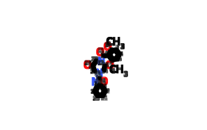 COc1cccc(OC)c1C(=O)N1CCN(c2nc3ccccc3o2)CC(=O)C1